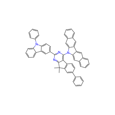 CC1(C)c2cc(-c3ccccc3)ccc2-c2c(-n3c4cc5ccccc5cc4c4cc5ccccc5cc43)nc(-c3ccc4c(c3)c3ccccc3n4-c3ccccc3)nc21